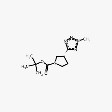 Cn1nnc([C@@H]2CCN(C(=O)OC(C)(C)C)C2)n1